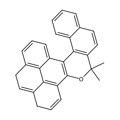 CC1(C)Oc2c3c4c5c(cccc5c2-c2c1ccc1ccccc21)CC=C4CC=C3